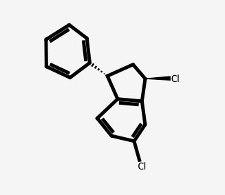 Clc1ccc2c(c1)[C@H](Cl)C[C@H]2c1ccccc1